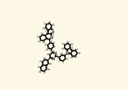 c1cc(-c2nc(-c3ccc(-c4nc5sc6ccccc6c5c5ccccc45)cc3)cc(-c3ccc4ccccc4c3)n2)cc(-n2c3ccccc3c3ccccc32)c1